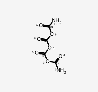 NC(=O)OC(=O)OC(=O)OC(N)=O